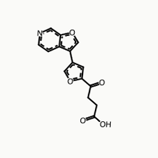 O=C(O)CCC(=O)c1cc(-c2coc3cnccc23)co1